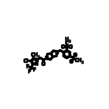 Cc1c(Cl)c(C(F)(F)F)nn1CC(=O)N1CC2CN(Cc3ccc(S(C)(=O)=O)cc3S(C)(=O)=O)CC2C1